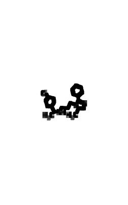 Cc1cnc(-c2ccccc2)n1CCCNC(C)c1ccc(Cl)cc1